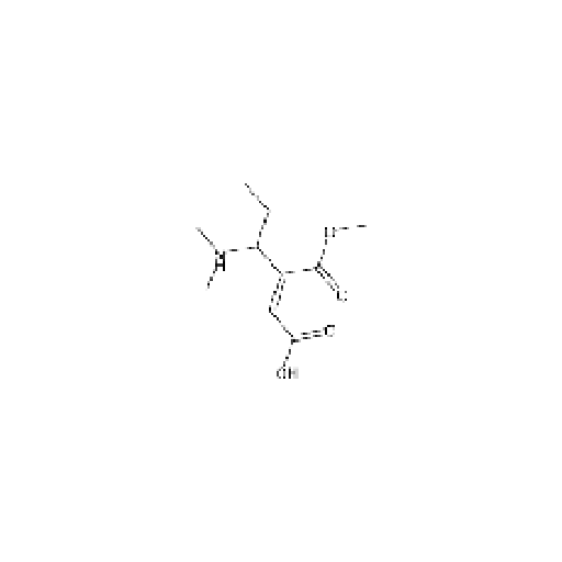 CCC(/C(=C/C(=O)O)C(=O)OC)[SiH](C)C